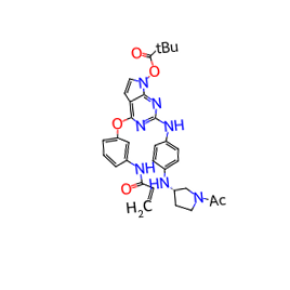 C=CC(=O)Nc1cccc(Oc2nc(Nc3ccc(N[C@H]4CCN(C(C)=O)C4)cc3)nc3c2ccn3OC(=O)C(C)(C)C)c1